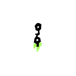 FC(F)(F)c1ccc([CH]Cc2ccccc2)cc1